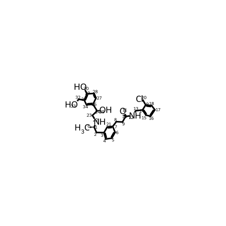 C[C@H](Cc1cccc(CCC(=O)NCc2ccccc2Cl)c1)NC[C@H](O)c1ccc(O)c(CO)c1